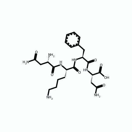 NCCCC[C@H](NC(=O)[C@@H](N)CC(N)=O)C(=O)N[C@@H](Cc1ccccc1)C(=O)N[C@@H](CC(N)=O)C(=O)O